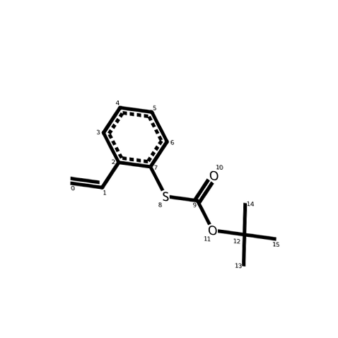 C=Cc1ccccc1SC(=O)OC(C)(C)C